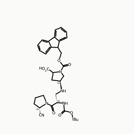 CC(C)(C)OC(=O)N[C@@H](CN[C@H]1CC(C(=O)O)N(C(=O)OCC2c3ccccc3-c3ccccc32)C1)C(=O)N1CCC[C@H]1C#N